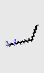 CCCCCCCC/C=C\CCCCCCCCNCCCN(C)C